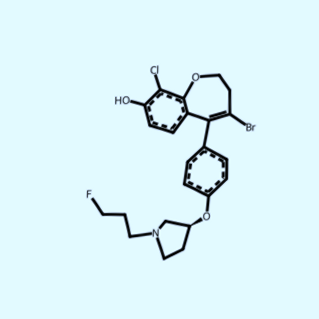 Oc1ccc2c(c1Cl)OCCC(Br)=C2c1ccc(O[C@H]2CCN(CCCF)C2)cc1